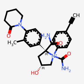 C#Cc1ccc([N+]2(C(N)=O)C[C@H](O)C[C@]2(C(N)=O)c2ccc(N3CCCCC3=O)c(C)c2)cc1